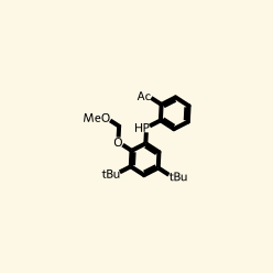 COCOc1c(Pc2ccccc2C(C)=O)cc(C(C)(C)C)cc1C(C)(C)C